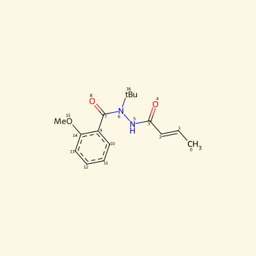 CC=CC(=O)NN(C(=O)c1ccccc1OC)C(C)(C)C